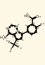 Nc1ncnn2c(-c3ccc(F)c(C(=O)O)c3)cc(C(F)(F)F)c12